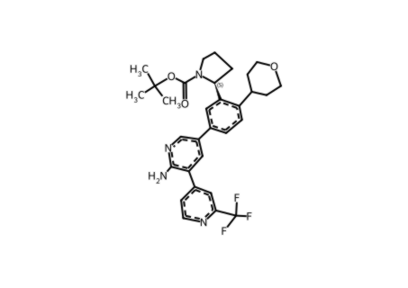 CC(C)(C)OC(=O)N1CCC[C@H]1c1cc(-c2cnc(N)c(-c3ccnc(C(F)(F)F)c3)c2)ccc1C1CCOCC1